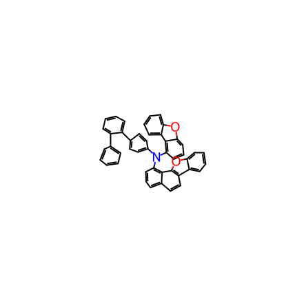 c1ccc(-c2ccccc2-c2ccc(N(c3cccc4oc5ccccc5c34)c3cccc4ccc5c6ccccc6oc5c34)cc2)cc1